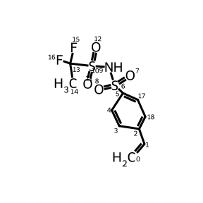 C=Cc1ccc(S(=O)(=O)NS(=O)(=O)C(C)(F)F)cc1